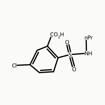 CCCNS(=O)(=O)c1ccc(Cl)cc1C(=O)O